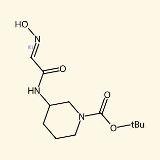 CC(C)(C)OC(=O)N1CCCC(NC(=O)/C=N/O)C1